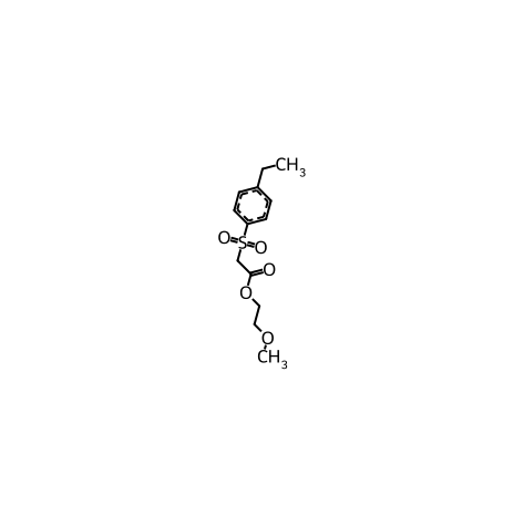 CCc1ccc(S(=O)(=O)CC(=O)OCCOC)cc1